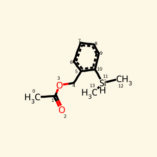 CC(=O)OCc1ccccc1[SiH](C)C